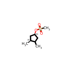 CC1C[C@H](OS(C)(=O)=O)C[C@@H]1C